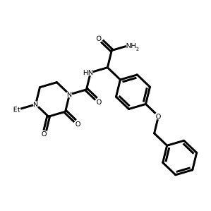 CCN1CCN(C(=O)NC(C(N)=O)c2ccc(OCc3ccccc3)cc2)C(=O)C1=O